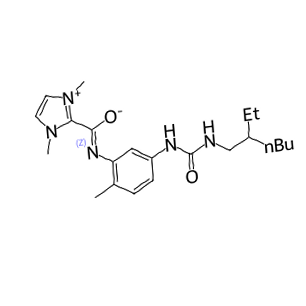 CCCCC(CC)CNC(=O)Nc1ccc(C)c(/N=C(\[O-])c2n(C)cc[n+]2C)c1